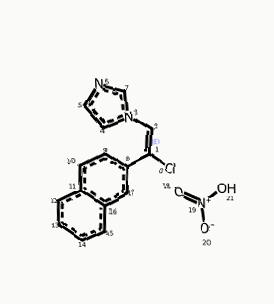 Cl/C(=C/n1ccnc1)c1ccc2ccccc2c1.O=[N+]([O-])O